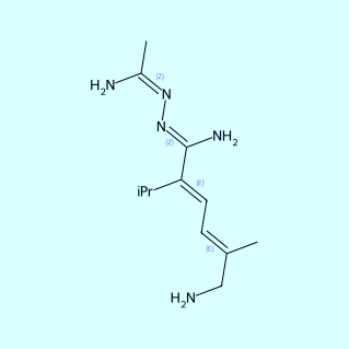 C/C(N)=N/N=C(N)/C(=C/C=C(\C)CN)C(C)C